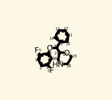 Fc1ccc(F)c(OC(c2ccccc2)C2CNCCO2)c1